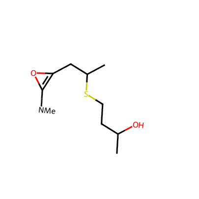 CNC1=C(CC(C)SCCC(C)O)O1